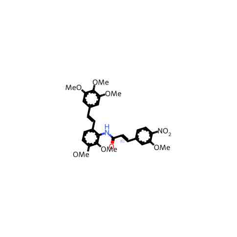 COc1cc(/C=C/C(=O)Nc2c(C=Cc3cc(OC)c(OC)c(OC)c3)ccc(OC)c2OC)ccc1[N+](=O)[O-]